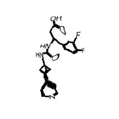 O=C(O)CC(NC(=O)NC12CC(c3ccncc3)(C1)C2)c1ccc(F)c(F)c1